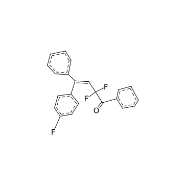 O=C(c1ccccc1)C(F)(F)/C=C(/c1ccccc1)c1ccc(F)cc1